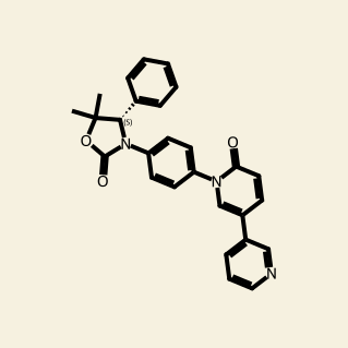 CC1(C)OC(=O)N(c2ccc(-n3cc(-c4cccnc4)ccc3=O)cc2)[C@H]1c1ccccc1